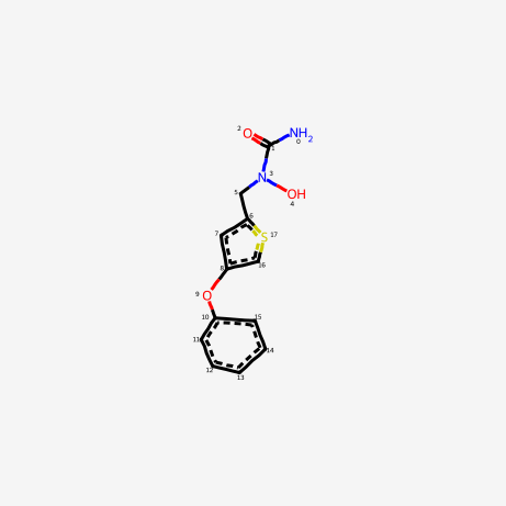 NC(=O)N(O)Cc1cc(Oc2ccccc2)cs1